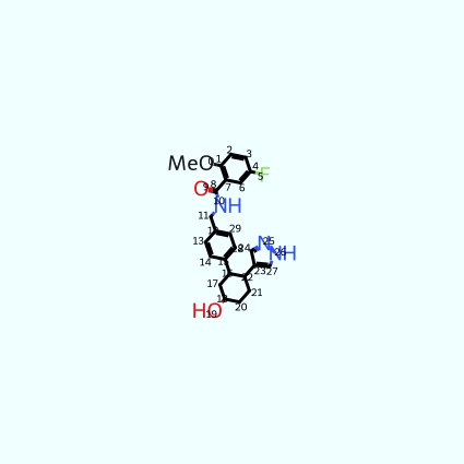 COc1ccc(F)cc1C(=O)NCc1ccc(C2CC(O)CCC2c2cn[nH]c2)cc1